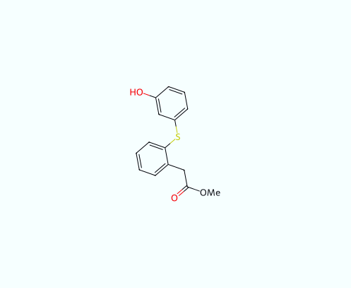 COC(=O)Cc1ccccc1Sc1cccc(O)c1